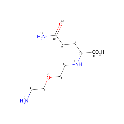 NCCOCCNC(CCC(N)=O)C(=O)O